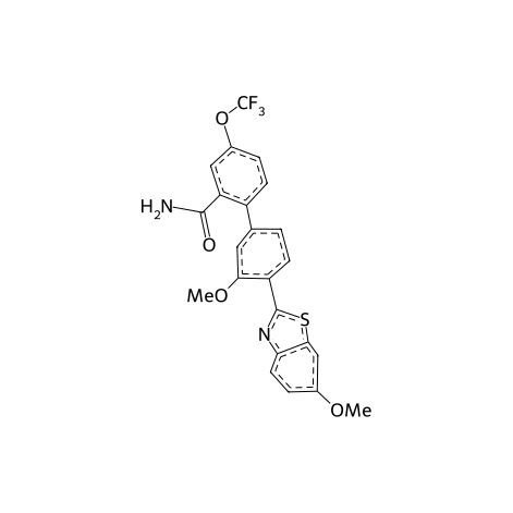 COc1ccc2nc(-c3ccc(-c4ccc(OC(F)(F)F)cc4C(N)=O)cc3OC)sc2c1